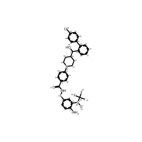 Nc1ccc(SNC(=O)c2ccc(N3CCC(C(O)c4ccccc4-c4ccc(Cl)cc4)CC3)cc2)cc1[S+]([O-])C(F)(F)F